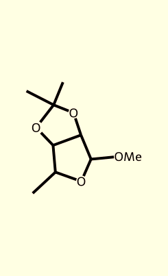 COC1OC(C)C2OC(C)(C)OC12